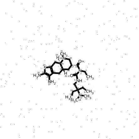 CCN(C(=O)NCC(CC)(CC)N(C)C)C(=O)[C@@H]1C[C@@H]2Cc3c(sc(N)c3N)C[C@H]2N(C)C1